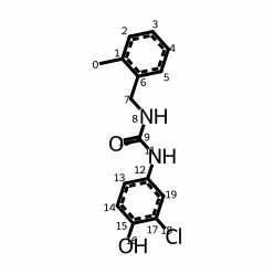 Cc1ccccc1CNC(=O)Nc1ccc(O)c(Cl)c1